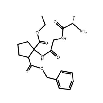 CCOC(=O)C1(NC(=O)CNC(=O)[C@H](C)N)CCCC1C(=O)OCc1ccccc1